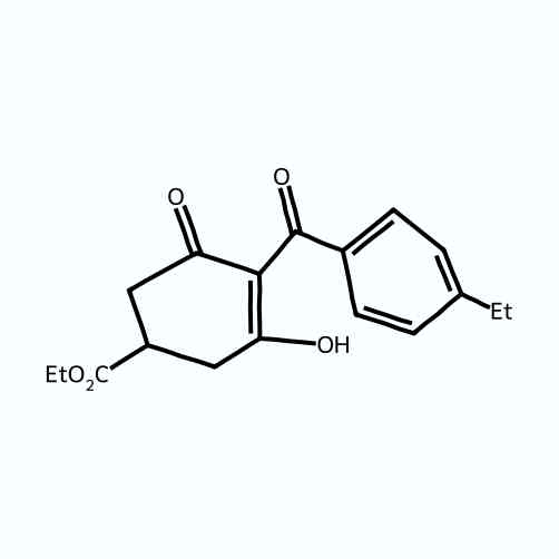 CCOC(=O)C1CC(=O)C(C(=O)c2ccc(CC)cc2)=C(O)C1